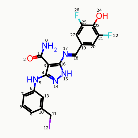 NC(=O)c1c(Nc2cccc(CI)c2)n[nH]c1/N=C/c1cc(F)c(O)c(F)c1